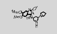 COc1cc2nc(Cl)nc(N[C@@H]3CNCC(N4CCCC4)C3)c2cc1OC